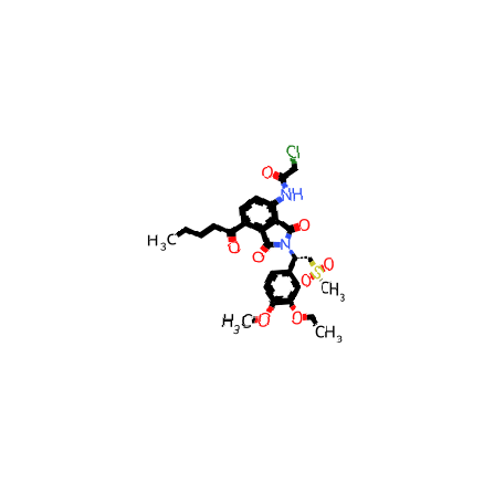 CCCCC(=O)c1ccc(NC(=O)CCl)c2c1C(=O)N([C@H](CS(C)(=O)=O)c1ccc(OC)c(OCC)c1)C2=O